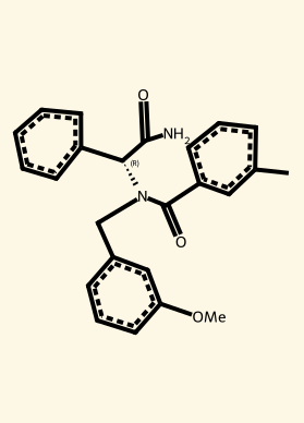 COc1cccc(CN(C(=O)c2cccc(C)c2)[C@@H](C(N)=O)c2ccccc2)c1